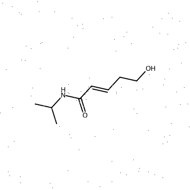 CC(C)NC(=O)/C=C/CCO